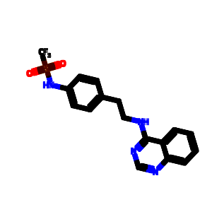 O=S(=O)(Nc1ccc(CCNc2ncnc3ccccc23)cc1)C(F)(F)F